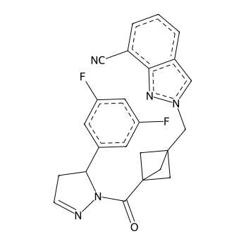 N#Cc1cccc2cn(CC34CC(C(=O)N5N=CCC5c5cc(F)cc(F)c5)(C3)C4)nc12